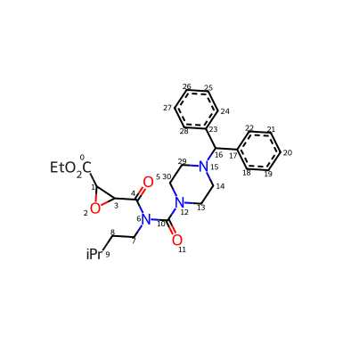 CCOC(=O)C1OC1C(=O)N(CCC(C)C)C(=O)N1CCN(C(c2ccccc2)c2ccccc2)CC1